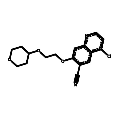 N#Cc1cc2c(Cl)ccnc2cc1OCCOC1CCOCC1